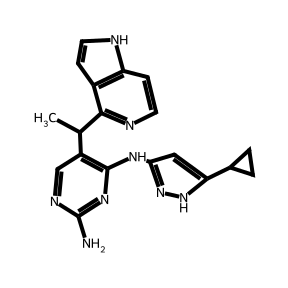 CC(c1cnc(N)nc1Nc1cc(C2CC2)[nH]n1)c1nccc2[nH]ccc12